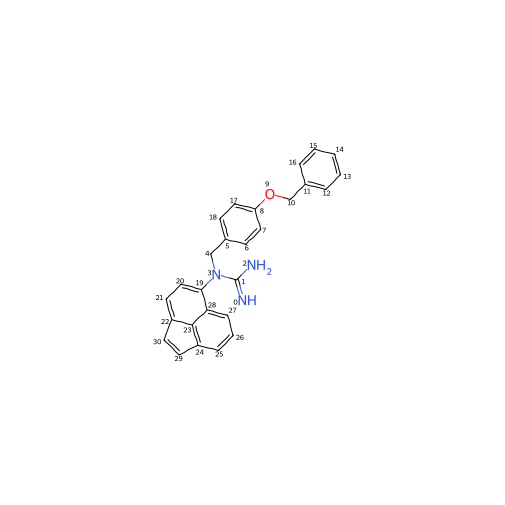 N=C(N)N(Cc1ccc(OCc2ccccc2)cc1)c1ccc2c3c(cccc13)C=C2